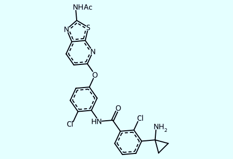 CC(=O)Nc1nc2ccc(Oc3ccc(Cl)c(NC(=O)c4cccc(C5(N)CC5)c4Cl)c3)nc2s1